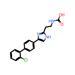 O=C(O)NCCc1nc(-c2ccc(-c3ccccc3Cl)cc2)c[nH]1